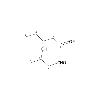 CC(O)CC=O.CCCCC=O